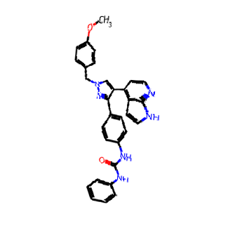 COc1ccc(Cn2cc(-c3ccnc4[nH]ccc34)c(-c3ccc(NC(=O)Nc4ccccc4)cc3)n2)cc1